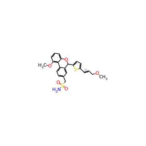 COC/C=C/c1ccc(C2Oc3cccc(OC)c3-c3ccc(CS(N)(=O)=O)cc32)s1